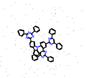 c1ccc(-c2cc(-c3ccccc3)nc(-c3ccc(-n4c5ccccc5c5ccc(-c6nc(-c7ccccc7)nc(-c7ccccc7)n6)cc54)c(-c4cc(-c5ccccc5)nc(-c5ccccc5)n4)c3)n2)cc1